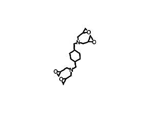 C1CC(CN(CC2CO2)CC2CO2)CCC1CN(CC1CO1)CC1CO1